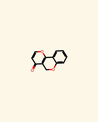 O=c1ccoc2c1COc1ccccc1-2